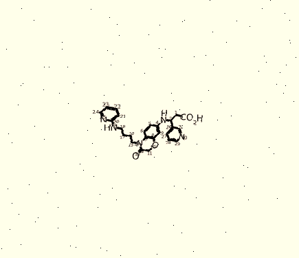 O=C(O)CC(Nc1ccc2c(c1)OCC(=O)N2CCCCNc1ccccn1)c1cccnc1